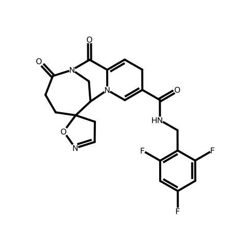 O=C(NCc1c(F)cc(F)cc1F)C1=CN2C(=CC1)C(=O)N1CC2C2(CC=NO2)CCC1=O